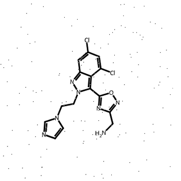 NCc1noc(-c2c3c(Cl)cc(Cl)cc3nn2CCn2ccnc2)n1